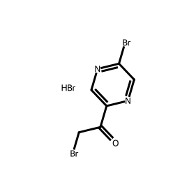 Br.O=C(CBr)c1cnc(Br)cn1